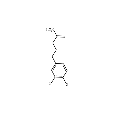 C=C(CCCc1ccc(Cl)c(Cl)c1)C(=O)OCC